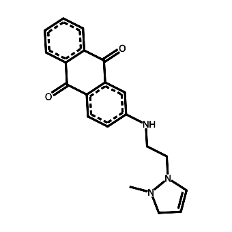 CN1CC=CN1CCNc1ccc2c(c1)C(=O)c1ccccc1C2=O